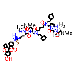 CN[C@@H](C)C(=O)N[C@@H](CCCNC(=S)Nc1ccc2c(c1)C(=O)OC21c2ccccc2Oc2cc(O)ccc21)C(=O)N1CCC[C@H]1CN(CCc1ccccc1)C(=O)CCCC(=O)N(CCc1ccccc1)CC1CCCN1C(=O)[C@@H](NC(=O)[C@H](C)NC)C(C)(C)C